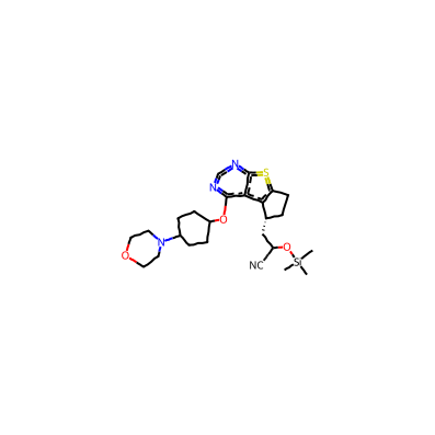 C[Si](C)(C)OC(C#N)C[C@H]1CCc2sc3ncnc(OC4CCC(N5CCOCC5)CC4)c3c21